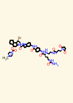 CN1CCN(C(=O)Oc2cc3c(c4ccccc24)[C@H](CBr)CN3C(=O)c2cc3cc(NC(=O)c4ccc(NC(=O)[C@H](CCCNC(N)=O)NCCNC(=O)CCCN5C(=O)C=CC5=O)cc4)ccc3[nH]2)CC1